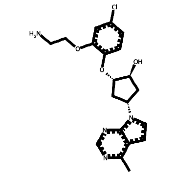 Cc1ncnc2c1ccn2[C@@H]1C[C@H](Oc2ccc(Cl)cc2OCCN)[C@@H](O)C1